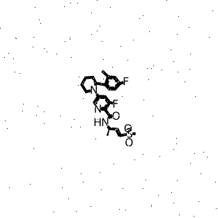 Cc1cc(F)ccc1C1CCCCN1c1cnc(C(=O)N[C@H](C)/C=C/S(C)(=O)=O)c(F)c1